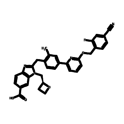 Cc1cc(-c2cccc(OCc3ccc(C#N)cc3F)n2)ccc1Cc1nc2ccc(C(=O)O)cc2n1C[C@@H]1CCO1